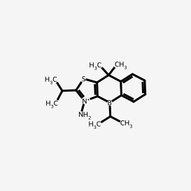 CC(C)B1c2ccccc2C(C)(C)c2sc(C(C)C)[n+](N)c21